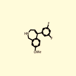 COc1ccc2c(c1)CNCC=C2c1cc(F)cc(F)c1